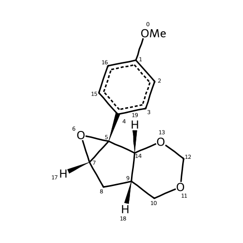 COc1ccc([C@]23O[C@H]2C[C@H]2COCO[C@H]23)cc1